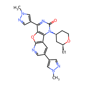 CC[C@H]1C[C@@H](n2c(=O)nc(-c3cnn(C)c3)c3oc4ncc(-c5cnn(C)c5)cc4c32)CCO1